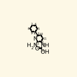 Nc1nc(-c2ccccc2)ccc1NC(=O)O